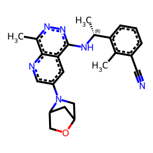 Cc1c(C#N)cccc1[C@@H](C)Nc1nnc(C)c2ncc(N3CC4CC3CO4)cc12